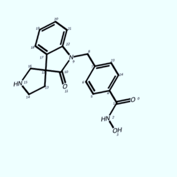 O=C(NO)c1ccc(CN2C(=O)C3(CCNC3)c3ccccc32)cc1